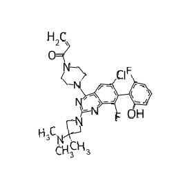 C=CC(=O)N1CCN(c2nc(N3CC(C)(N(C)C)C3)nc3c(F)c(-c4c(O)cccc4F)c(Cl)cc23)CC1